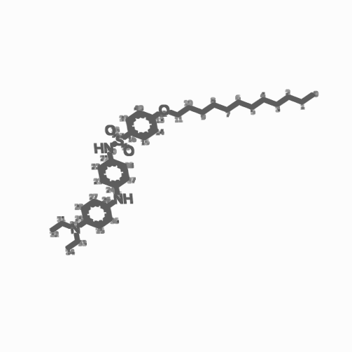 CCCCCCCCCCCCOc1ccc(S(=O)(=O)Nc2ccc(Nc3ccc(N(CC)CC)cc3)cc2)cc1